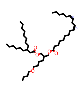 CCCCC/C=C\C/C=C\CCCCCCCC(=O)OCC(CCCCOCCCC)COC(=O)CC(CCCCCC)CCCCCCCC